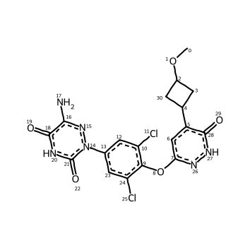 COC1CC(c2cc(Oc3c(Cl)cc(-n4nc(N)c(=O)[nH]c4=O)cc3Cl)n[nH]c2=O)C1